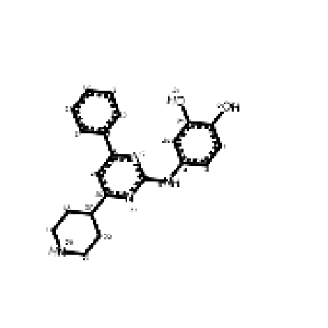 Oc1ccc(Nc2nc(-c3ccccc3)cc(C3CCNCC3)n2)cc1O